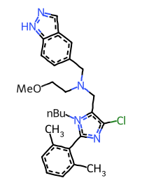 CCCCn1c(-c2c(C)cccc2C)nc(Cl)c1CN(CCOC)Cc1ccc2[nH]ncc2c1